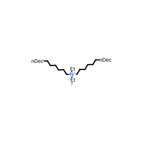 CCCCCCCCCCCCCCCC[N+](CC)(CC)CCCCCCCCCCCCCCCC.[I-]